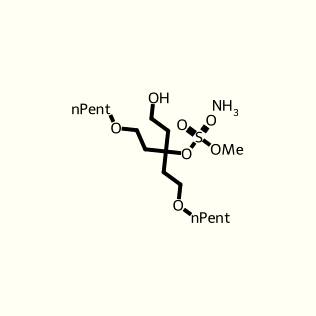 CCCCCOCCC(CCO)(CCOCCCCC)OS(=O)(=O)OC.N